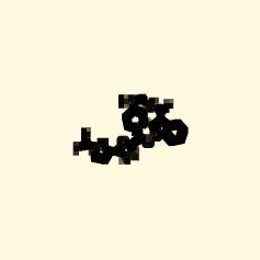 O=C(c1nnc(-c2ccn(C(F)F)n2)o1)N1CCc2[nH]cnc2[C@@H]1c1oc2ccccc2c1C(F)F